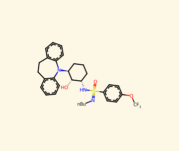 CCCCN=S(=O)(N[C@H]1CCC[C@H](N2c3ccccc3CCc3ccccc32)[C@H]1O)c1ccc(OC(F)(F)F)cc1